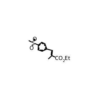 CCOC(=O)C(C)=Cc1ccc(S(C)(=O)=O)cc1